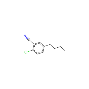 CCCCc1ccc(Cl)c(C#N)c1